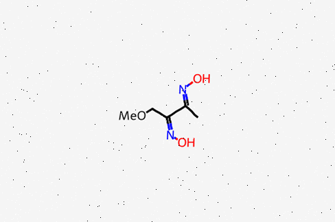 COCC(=NO)C(C)=NO